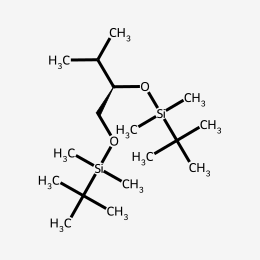 CC(C)[C@H](CO[Si](C)(C)C(C)(C)C)O[Si](C)(C)C(C)(C)C